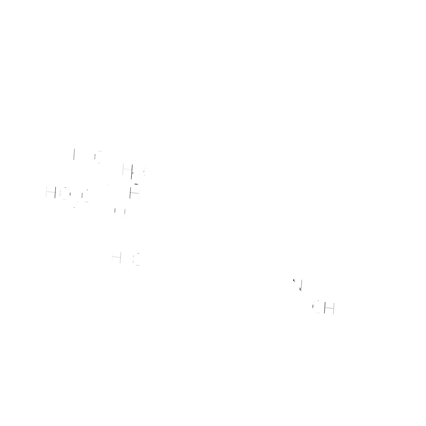 Cc1cc(CCC2CCN(C)C2)cc(C)c1OC(C)(C)C(=O)O